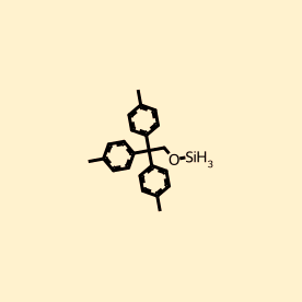 Cc1ccc(C(CO[SiH3])(c2ccc(C)cc2)c2ccc(C)cc2)cc1